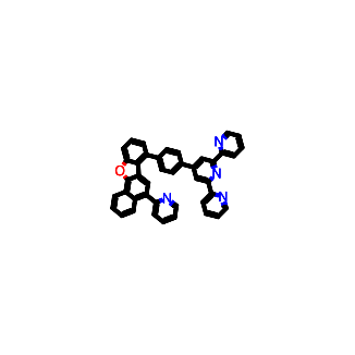 c1ccc(-c2cc(-c3ccc(-c4cccc5oc6c7ccccc7c(-c7ccccn7)cc6c45)cc3)cc(-c3ccccn3)n2)nc1